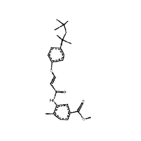 COC(=O)c1ccc(C)c(NC(=O)C=COc2ccc(C(C)(C)CC(C)(C)C)cc2)c1